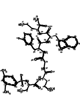 Cc1cc(C)cc(S(=O)(=O)N[C@H](CC(=O)O)C(=O)N[C@@H](CCC(=O)O)C(=O)NCC(=O)N[C@@H](Cc2cccc(F)c2)C(=O)N[C@@H](Cc2c[nH]c3ccccc23)C(=O)N[C@@H](CCC(=O)O)C(N)=O)c1